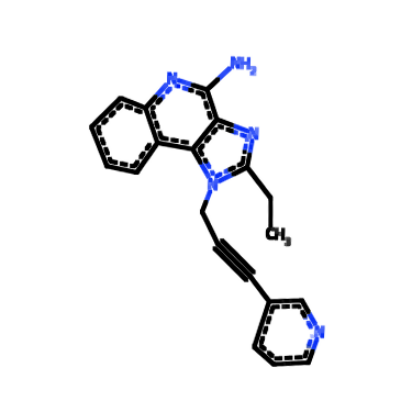 CCc1nc2c(N)nc3ccccc3c2n1CC#Cc1cccnc1